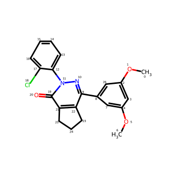 COc1cc(OC)cc(-c2nn(-c3ccccc3Cl)c(=O)c3c2CCC3)c1